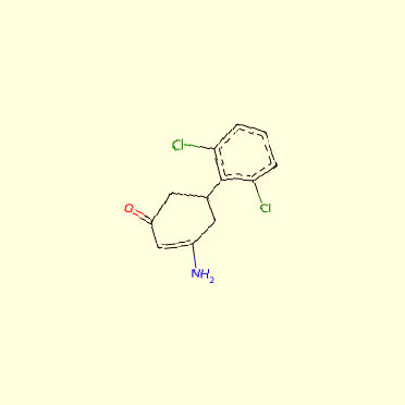 NC1=CC(=O)CC(c2c(Cl)cccc2Cl)C1